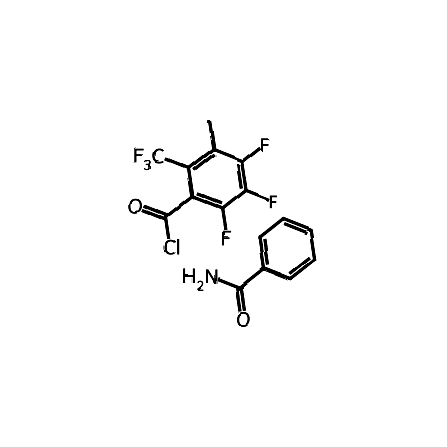 Cc1c(F)c(F)c(F)c(C(=O)Cl)c1C(F)(F)F.NC(=O)c1ccccc1